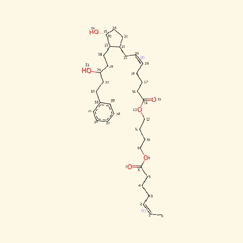 C/C=C\CCCC(=O)OCCCCOC(=O)CCC/C=C\CC1CC[C@@H](O)C1CCC(O)CCc1ccccc1